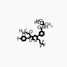 CNC(=O)c1c(-c2ccc(F)cc2)oc2nc(CCC(F)(F)F)c(-c3cccc(C(=O)NC(C)(CO)CO)c3)cc12